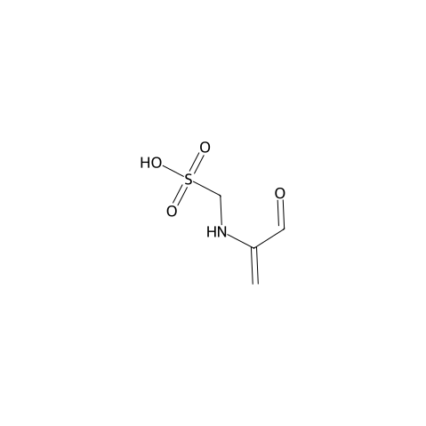 C=C(C=O)NCS(=O)(=O)O